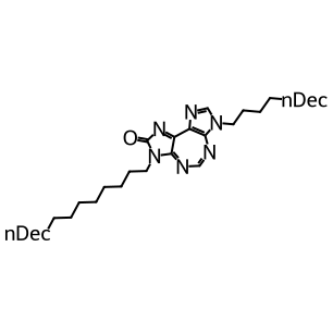 CCCCCCCCCCCCCCCCCCn1c2ncnc3c(ncn3CCCCCCCCCCCCCC)c-2nc1=O